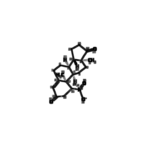 C[C@]12CC[C@@H]3[C@@H](CCC4=CC(=O)CC([N+](=O)[O-])[C@@]43C)[C@@H]1CCC2=O